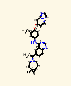 C=C(c1ccc2ncnc(Nc3ccc(Oc4ccn5ccnc5c4)c(C)c3)c2c1)N1CCC2C[C@@H]2CC1